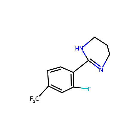 Fc1cc(C(F)(F)F)ccc1C1=NCCCN1